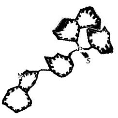 S=P(c1ccccc1)(c1ccc(-c2cnc3ccccc3c2)cc1)c1cccc2ccccc12